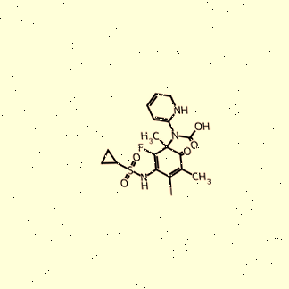 CC1=C(I)C(NS(=O)(=O)C2CC2)=C(F)C(C)(N(C(=O)O)C2=CC=CCN2)C1=O